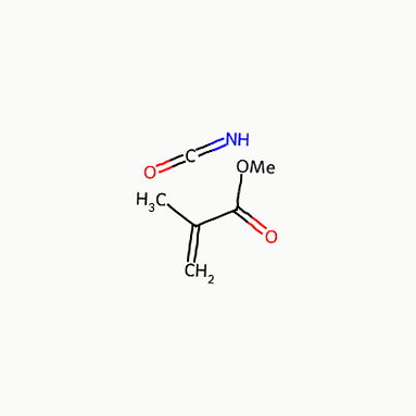 C=C(C)C(=O)OC.N=C=O